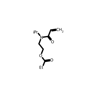 C=CC(=O)N(CCOC(=O)CC)C(C)C